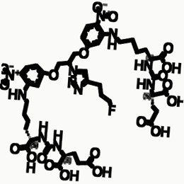 O=C(O)CC[C@H](NC(=O)N[C@@H](CCCCNc1cc(OCC(COc2ccc([N+](=O)[O-])c(NCCCC[C@H](NC(=O)N[C@@H](CCC(=O)O)C(=O)O)C(=O)O)c2)n2cc(CCCF)nn2)ccc1[N+](=O)[O-])C(=O)O)C(=O)O